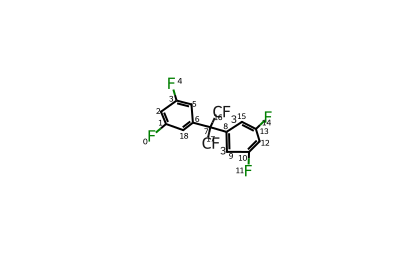 Fc1cc(F)cc(C(c2cc(F)cc(F)c2)(C(F)(F)F)C(F)(F)F)c1